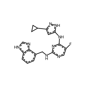 Fc1cnc(NCc2cccc3[nH]cnc23)nc1Nc1cc(C2CC2)n[nH]1